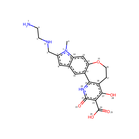 Cn1c(CNCCN)cc2cc3c(cc21)OCCc1c-3[nH]c(=O)c(C(=O)O)c1O